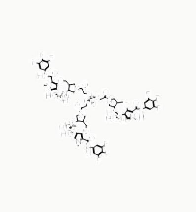 Cn1cc2c(c1C(=O)Nc1cc(F)c(F)c(F)c1)OCC1CN(C(=O)COP(=O)(OCC(=O)N3CC4COc5c(cn(C)c5C(=O)Nc5cc(F)c(F)c(F)c5)S(O)(O)NC4C3)OCC(=O)N3CC4COc5c(cn(C)c5C(=O)Nc5cc(F)c(F)c(F)c5)S(O)(O)NC4C3)CC1NS2(O)O